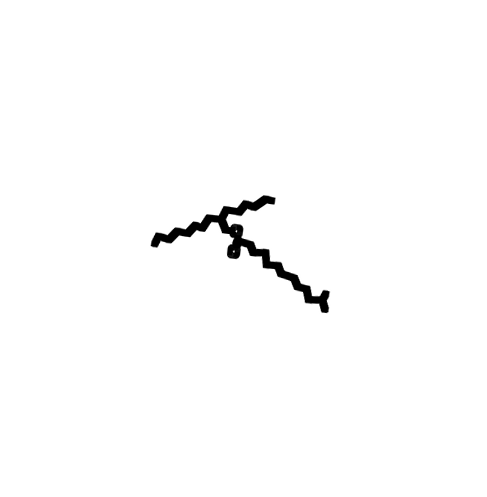 CCCCCCCCC(CCCCCC)COC(=O)CCCCCCCCCCC(C)C